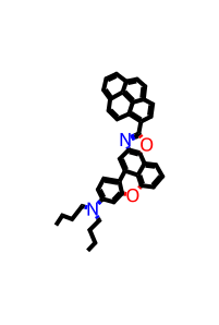 CCCCN(CCCC)c1ccc2c(c1)Oc1cccc3c1c-2cc1nc(-c2ccc4ccc5cccc6ccc2c4c56)oc13